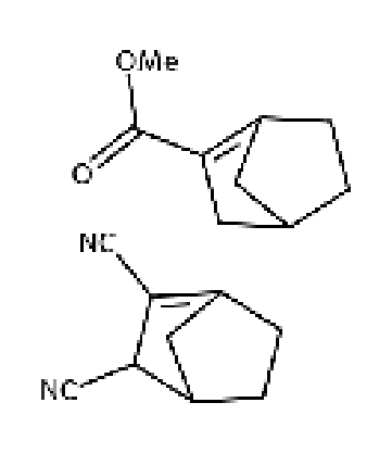 COC(=O)C1=C2CCC(C2)C1.N#CC1=C2CCC(C2)C1C#N